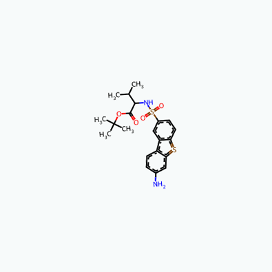 CC(C)C(NS(=O)(=O)c1ccc2sc3cc(N)ccc3c2c1)C(=O)OC(C)(C)C